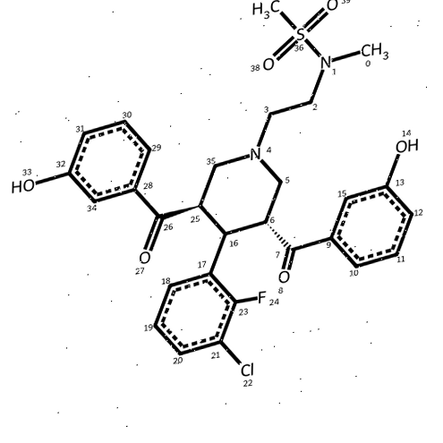 CN(CCN1C[C@H](C(=O)c2cccc(O)c2)C(c2cccc(Cl)c2F)[C@@H](C(=O)c2cccc(O)c2)C1)S(C)(=O)=O